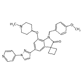 COc1ccc(CN2C(=O)C3(CCC3)c3cc(-c4ccn(-c5ccncc5)n4)cc(OC4CCN(C)CC4)c32)cc1